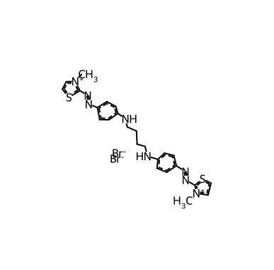 C[n+]1ccsc1N=Nc1ccc(NCCCCNc2ccc(N=Nc3scc[n+]3C)cc2)cc1.[Br-].[Br-]